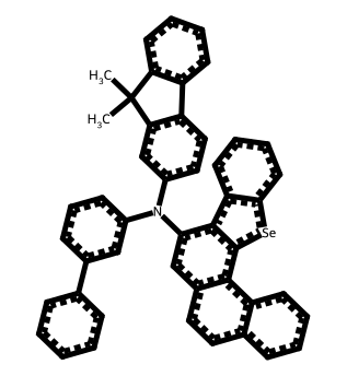 CC1(C)c2ccccc2-c2ccc(N(c3cccc(-c4ccccc4)c3)c3cc4ccc5ccccc5c4c4[se]c5ccccc5c34)cc21